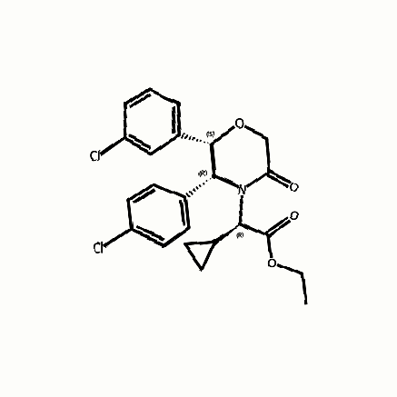 CCOC(=O)[C@@H](C1CC1)N1C(=O)CO[C@@H](c2cccc(Cl)c2)[C@H]1c1ccc(Cl)cc1